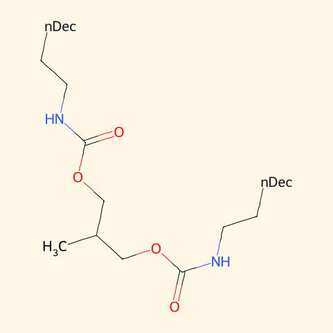 CCCCCCCCCCCCNC(=O)OCC(C)COC(=O)NCCCCCCCCCCCC